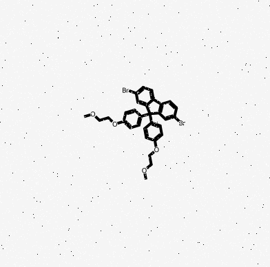 COCCOc1ccc(C2(c3ccc(OCCOC)cc3)c3cc(Br)ccc3-c3ccc(Br)cc32)cc1